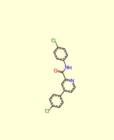 O=C(Nc1ccc(Cl)cc1)c1cc(-c2ccc(Cl)cc2)ccn1